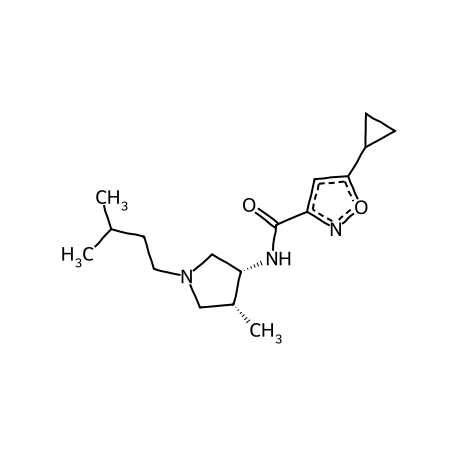 CC(C)CCN1C[C@@H](C)[C@@H](NC(=O)c2cc(C3CC3)on2)C1